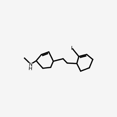 CNC1C=CC(CCC2CCCC=C2I)CC1